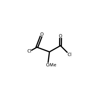 COC(C(=O)Cl)C(=O)Cl